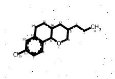 CCCC1COC2c3ccc(Cl)cc3CCC2C1